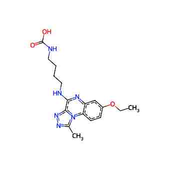 CCOc1ccc2c(c1)nc(NCCCCNC(=O)O)c1nnc(C)n12